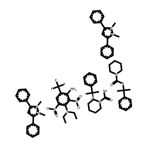 CC(C)(SC(=O)N1CCCCC1)c1ccccc1.CC(C)(c1ccccc1)[C@@H]1CCCCN1C(=O)S.CCN(CC)c1c([N+](=O)[O-])cc(C(F)(F)F)c(N)c1[N+](=O)[O-].Cn1c(-c2ccccc2)cc(-c2ccccc2)[n+]1C.Cn1c(-c2ccccc2)cc(-c2ccccc2)[n+]1C